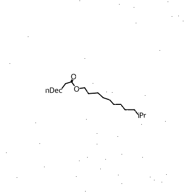 CCCCCCCCCCCC(=O)OCCCCCCCCCC(C)C